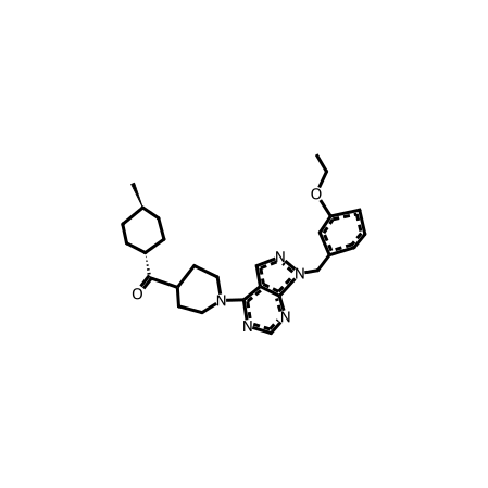 CCOc1cccc(Cn2ncc3c(N4CCC(C(=O)[C@H]5CC[C@H](C)CC5)CC4)ncnc32)c1